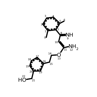 Cc1cccc(C)c1C(=N)/C=C(\N)OCCc1cccc(CO)c1